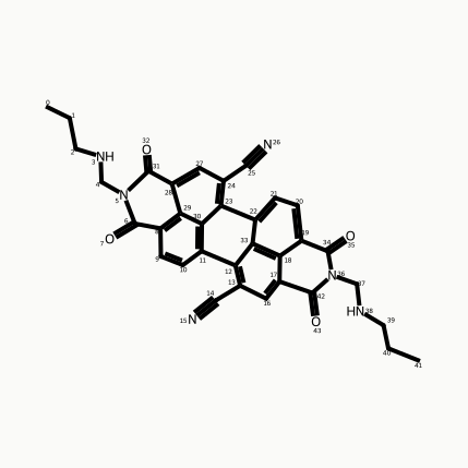 CCCNCN1C(=O)c2ccc3c4c(C#N)cc5c6c(ccc(c7c(C#N)cc(c2c37)C1=O)c64)C(=O)N(CNCCC)C5=O